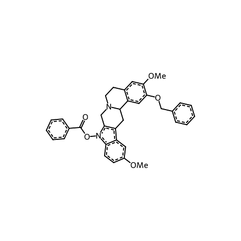 COc1ccc2c(c1)c1c(n2OC(=O)c2ccccc2)CN2CCc3cc(OC)c(OCc4ccccc4)cc3C2C1